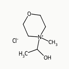 CC(O)[N+]1(C)CCOCC1.[Cl-]